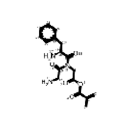 C=C(C)C(=O)OC(=O)CN(C(=O)CN)C(=O)[C@@H](N)Cc1ccccc1